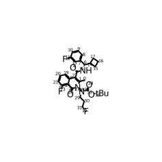 Cc1c(C(=O)N[C@H](c2cccc(F)c2)C2CCC2)c2cccc(F)c2c(=O)n1N(CCCF)C(=O)OC(C)(C)C